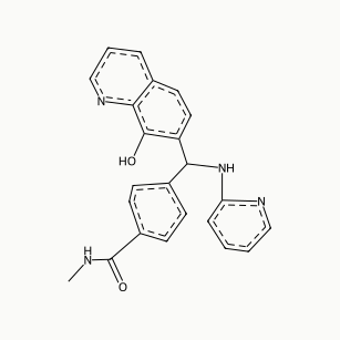 CNC(=O)c1ccc(C(Nc2ccccn2)c2ccc3cccnc3c2O)cc1